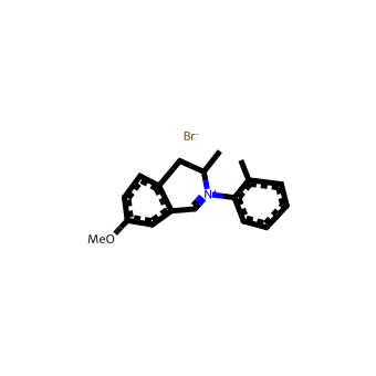 COc1ccc2c(c1)C=[N+](c1ccccc1C)C(C)C2.[Br-]